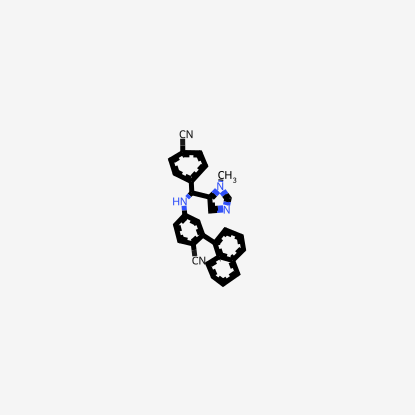 Cn1cncc1C(Nc1ccc(C#N)c(-c2cccc3ccccc23)c1)c1ccc(C#N)cc1